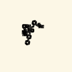 CC(=O)SCc1ccccc1CCC(=O)NC(Cc1ccc(-c2ccccc2)cc1)c1nnnn1CCC#N